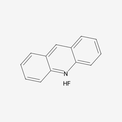 F.c1ccc2nc3ccccc3cc2c1